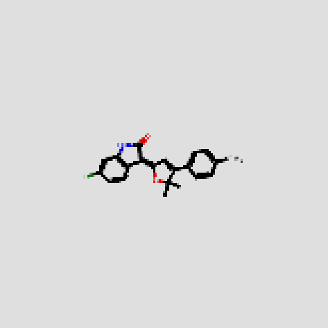 COc1ccc(C2=C/C(=C3\C(=O)Nc4cc(F)ccc43)OC2(C)C)cc1